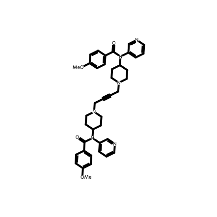 COc1ccc(C(=O)N(c2cccnc2)C2CCN(CC#CCN3CCC(N(C(=O)c4ccc(OC)cc4)c4cccnc4)CC3)CC2)cc1